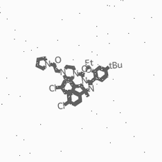 CCOc1cc(C(C)(C)C)ccc1C1=NC(C)(c2ccc(Cl)cc2)C(c2ccc(Cl)cc2)N1C(=O)N1CCN(CC(=O)N2CCCC2)CC1